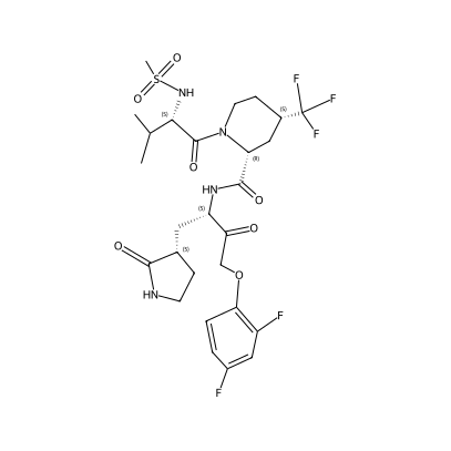 CC(C)[C@H](NS(C)(=O)=O)C(=O)N1CC[C@H](C(F)(F)F)C[C@@H]1C(=O)N[C@@H](C[C@@H]1CCNC1=O)C(=O)COc1ccc(F)cc1F